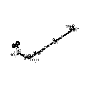 CC(C)C(NC(=O)CCCCCCCSCCCCCC(=O)NCCCOCCOCCOCCCNC(=O)COCC(=O)C(CCC(=O)NCCCCC(NC(=O)OCC1c2ccccc2-c2ccccc21)C(=O)O)C(=O)O)C(=O)OC(C)(C)C